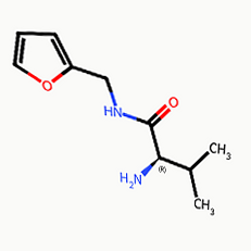 CC(C)[C@@H](N)C(=O)NCc1ccco1